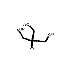 CCC(CO)(CO)COC(C)=O